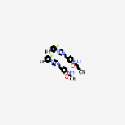 CCc1ccc(F)c(N2CCN(CCC3CCC(NC(=O)CC#N)CC3)CC2)c1.CCc1ccc(F)c(N2CCN(CCC3CCC(NC(=O)CCCC#N)CC3)CC2)c1